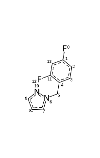 Fc1ccc(Cn2c[c]cn2)c(F)c1